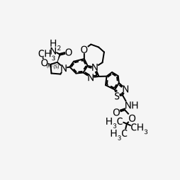 CO[C@@H]1CCN(c2cc3c4c(c2)nc(-c2ccc5nc(NC(=O)OC(C)(C)C)sc5c2)n4CCCCO3)[C@@H]1C(N)=O